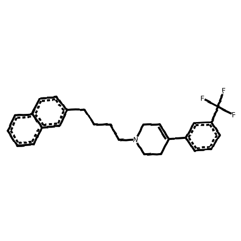 FC(F)(F)c1cccc(C2=CCN(CCCCc3ccc4ccccc4c3)CC2)c1